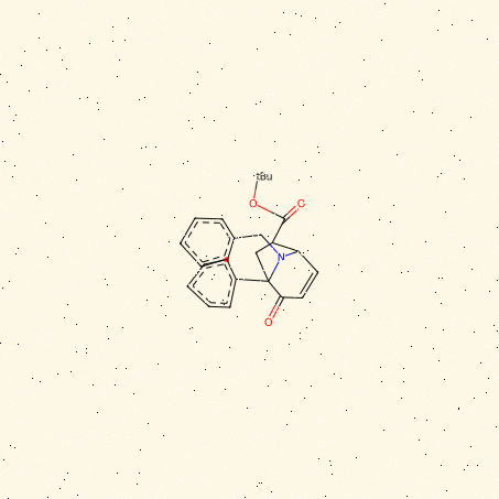 CC(C)(C)OC(=O)C1CC2(c3ccccc3)C(=O)C=CC1N2Cc1ccccc1